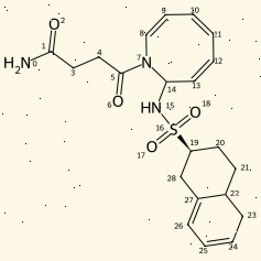 NC(=O)CCC(=O)N1\C=C/C=C\C=C/C1NS(=O)(=O)[C@H]1CCC2CC=CC=C2C1